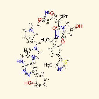 Cc1ncsc1-c1ccc([C@H](C)NC(=O)[C@@H]2C[C@@H](O)CN2C(=O)[C@@H](c2cc(OCCN3CCC[C@@H](CN4CCN5c6cc(-c7ccccc7O)nnc6NC[C@@H]5C4)C3)no2)C(C)C)cc1